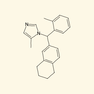 Cc1ccccc1C(c1ccc2c(c1)CCCC2)n1cncc1C